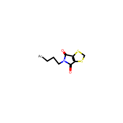 CC(=O)CCCN1C(=O)C2=C(SCS2)C1=O